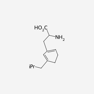 CC(C)CC1=CC(CC(N)C(=O)O)=CCC1